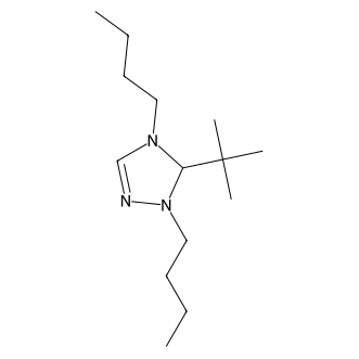 CCCCN1C=NN(CCCC)C1C(C)(C)C